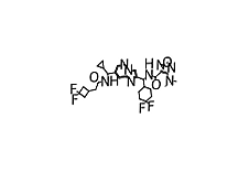 CN(C)c1nonc1C(=O)N[C@H](c1cn2ncc(C(NC(=O)CC3CC(F)(F)C3)C3CC3)cc2n1)C1CCC(F)(F)CC1